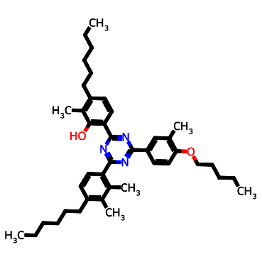 CCCCCCc1ccc(-c2nc(-c3ccc(OCCCCC)c(C)c3)nc(-c3ccc(CCCCCC)c(C)c3O)n2)c(C)c1C